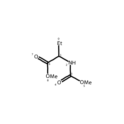 CCC(NC(=O)OC)C(=O)OC